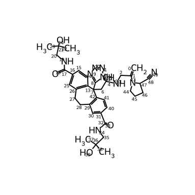 C=C(CN[C@@H](C)CC1(c2nnn[nH]2)c2ccc(C(=O)NCC(C)(C)O)cc2CCc2cc(C(=O)NCC(C)(C)O)ccc21)N1CCCC1C#N